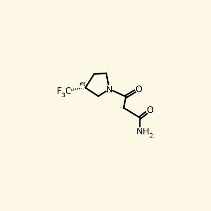 NC(=O)[CH]C(=O)N1CC[C@@H](C(F)(F)F)C1